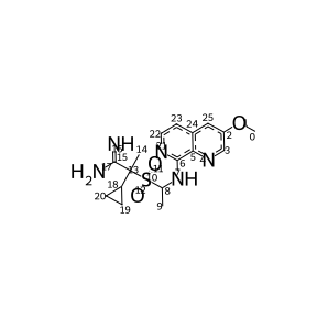 COc1cnc2c(NC(C)S(=O)(=O)C(C)(C(=N)N)C3CC3)nccc2c1